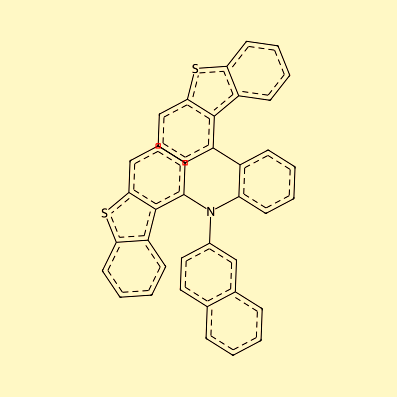 c1ccc(N(c2ccc3ccccc3c2)c2cccc3sc4ccccc4c23)c(-c2cccc3sc4ccccc4c23)c1